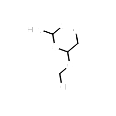 CCOC(CC)OC(C)[S]